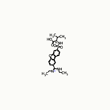 CC/N=C(/NCC)c1ccc2oc3cc(S(=O)(=O)N[C@H](C(=O)O)C(C)C)ccc3c2c1